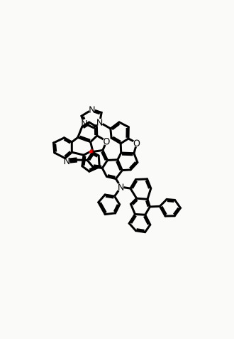 N#Cc1cc2cc(N(c3ccccc3)c3cccc4c(-c5ccccc5)c5ccccc5cc34)c3ccc4oc5ccc(N6C=NC=NC6)cc5c4c3c2c2oc3cccc(-c4ccccc4-c4ccccc4)c3c12